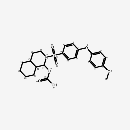 COc1ccc(Oc2ccc(S(=O)(=O)N3CCC4CCCCC4C3OC(=O)O)cc2)cc1